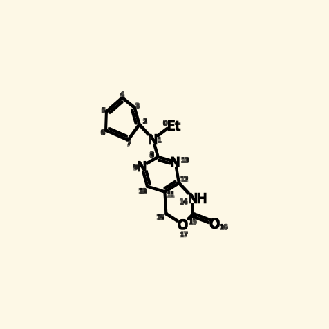 CCN(c1ccccc1)c1ncc2c(n1)NC(=O)OC2